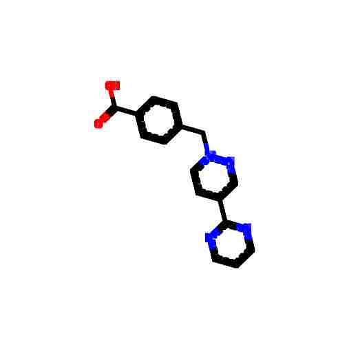 O=C(O)c1ccc(C[n+]2ccc(-c3ncccn3)cn2)cc1